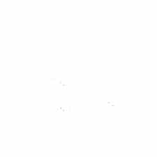 NC1=N[C@]2(CO1)c1cc(-c3cncc(Cl)c3)ccc1OC1CCOC[C@@H]12